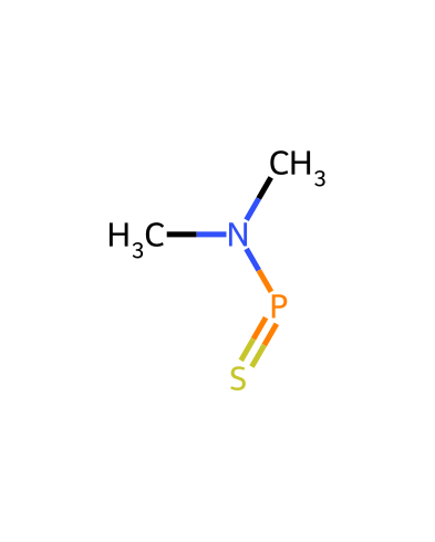 CN(C)P=S